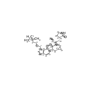 C[Si](C)(C)CCOCn1cnc2ccn(C(CC3CC3)C(=O)N[C@H](C#N)C[C@@H]3CCNC3=O)c(=O)c21